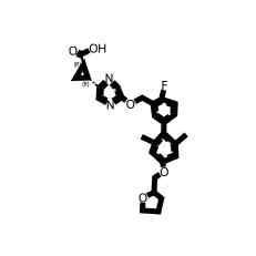 Cc1cc(OCC2CCCO2)cc(C)c1-c1ccc(F)c(COc2cnc([C@@H]3C[C@H]3C(=O)O)cn2)c1